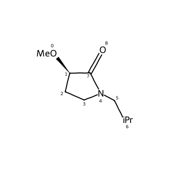 CO[C@@H]1CCN(CC(C)C)C1=O